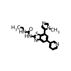 CCNC(=O)Nc1nc2cc(-c3cccnc3)cc(-c3cncn3C)c2s1